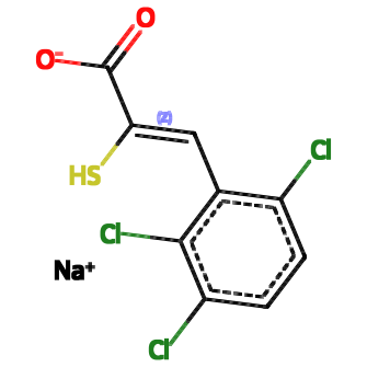 O=C([O-])/C(S)=C/c1c(Cl)ccc(Cl)c1Cl.[Na+]